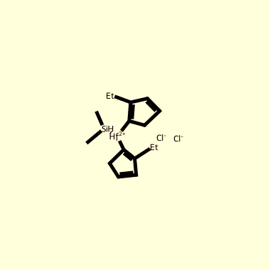 CCC1=[C]([Hf+2]([C]2=C(CC)C=CC2)[SiH](C)C)CC=C1.[Cl-].[Cl-]